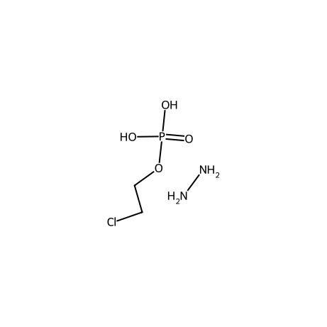 NN.O=P(O)(O)OCCCl